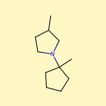 CC1CCN(C2(C)CCCC2)C1